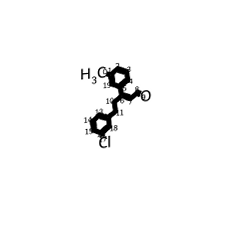 Cc1cccc(/C(=C\C=O)CCc2cccc(Cl)c2)c1